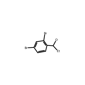 CCC([O])c1ccc(Br)cc1Br